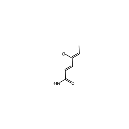 CC=C(Cl)C=CC([NH])=O